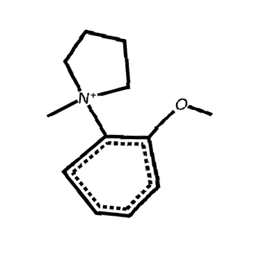 COc1ccccc1[N+]1(C)CCCC1